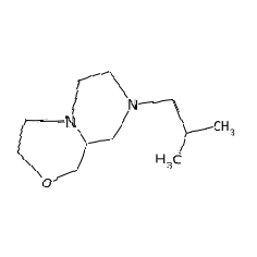 CC(C)CN1CCN2CCOCC2C1